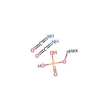 CCCCCCOP(=O)(O)O.N=C=O.N=C=O